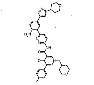 Cc1ccc(-c2cn(CC3CCOCC3)cc(C(=O)Nc3ccc(-c4cc(-c5cnn(C6CCOCC6)c5)cnc4N)nn3)c2=O)cc1